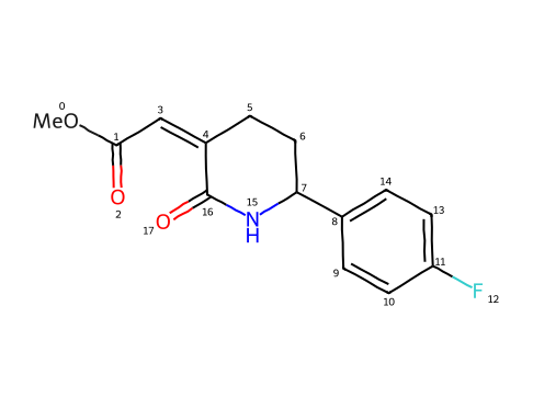 COC(=O)/C=C1/CCC(c2ccc(F)cc2)NC1=O